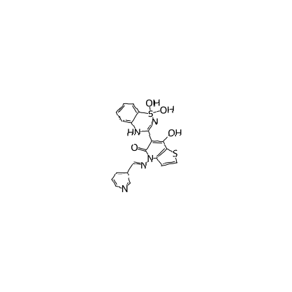 O=c1c(C2=NS(O)(O)c3ccccc3N2)c(O)c2sccc2n1N=Cc1cccnc1